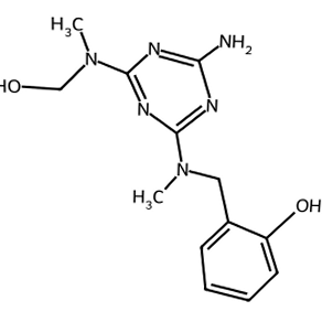 CN(CO)c1nc(N)nc(N(C)Cc2ccccc2O)n1